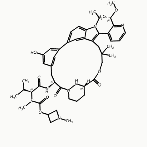 CCn1c(-c2cccnc2[C@H](C)OC)c2c3cc(ccc31)-c1cc(O)cc(c1)C[C@H](NC(=O)[C@H](C(C)C)N(C)C(=O)OC1CN(C)C1)C(=O)N1CCC[C@H](N1)C(=O)OCC(C)(C)C2